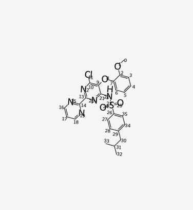 COc1ccccc1Oc1c(Cl)nc(-c2ncccn2)nc1NS(=O)(=O)c1ccc(CC(C)C)cc1